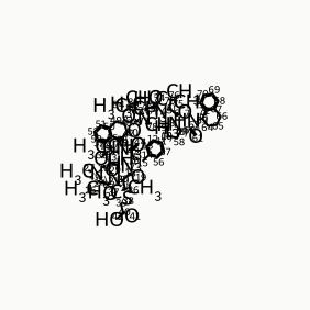 C[C@@H](C(=O)N[C@H](C(=O)N1C[C@@H](c2ccc(C[C@H](NC(=O)[C@@H](NC(=O)[C@H](C)N(C)C(=O)OC(C)(C)C)C(C)(C)SCC(=O)O)C(=O)N[C@@H]3CCCc4ccccc43)cc2)C[C@H]1C(=O)N[C@@H]1CCCc2ccccc21)C(C)(C)C)N(C)C(=O)OC(C)(C)C